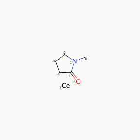 CN1CCCC1=O.[Ce]